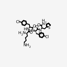 NCCCC[C@H](N)C(=O)NC(Cc1ccc(Cl)cc1)C(=O)N[C@H](Cc1ccc(Cl)cc1)C(=O)NC(Cc1cccs1)C(N)=O